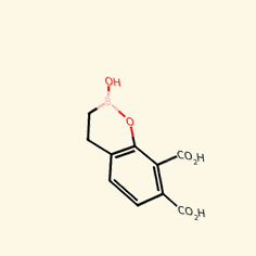 O=C(O)c1ccc2c(c1C(=O)O)OB(O)CC2